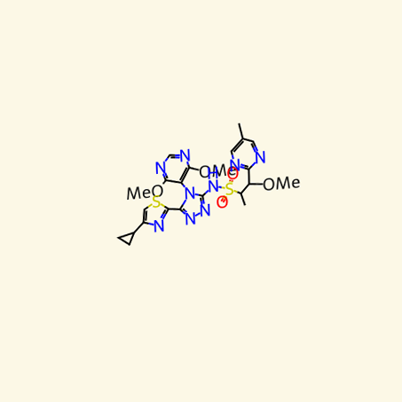 COc1ncnc(OC)c1-n1c(NS(=O)(=O)C(C)C(OC)c2ncc(C)cn2)nnc1-c1nc(C2CC2)cs1